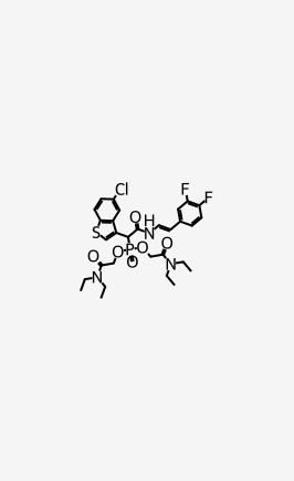 CCN(CC)C(=O)COP(=O)(OCC(=O)N(CC)CC)C(C(=O)NC=Cc1ccc(F)c(F)c1)c1csc2ccc(Cl)cc12